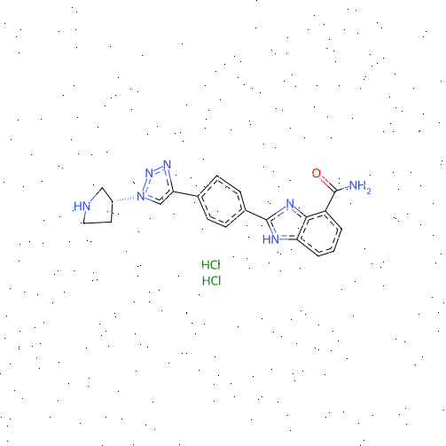 Cl.Cl.NC(=O)c1cccc2[nH]c(-c3ccc(-c4cn([C@@H]5CCNC5)nn4)cc3)nc12